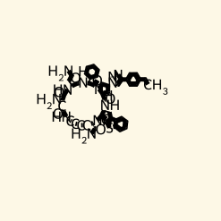 CCc1ccc(-c2cn([C@H]3C[C@H]4C(=O)N[C@@H](Cc5csc6ccccc56)C(=O)N[C@H](C(N)=O)CCCCNC(=O)C[C@H](N)C(=O)N[C@@H](CCN)C(=O)N[C@@H](C5CCCCC5)C(=O)N4C3)nn2)cc1